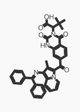 Cc1c(N=C(c2ccccc2)c2ccccc2)c2ccccn2c1C(=O)c1ccc2c(=O)n(C(C(=O)O)C(C)(C)C)c(=O)[nH]c2c1